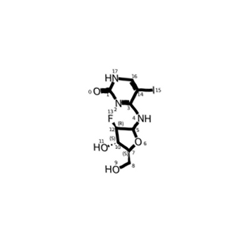 O=c1nc(NC2O[C@@H](CO)[C@H](O)[C@H]2F)c(I)c[nH]1